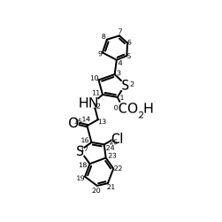 O=C(O)c1sc(-c2ccccc2)cc1NCC(=O)c1sc2ccccc2c1Cl